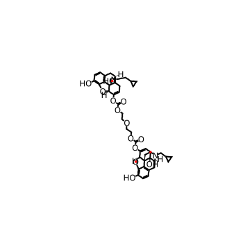 O=C(OCCOCCOC(=O)OC1=CC[C@]2(O)[C@@H]3Cc4ccc(O)c5c4[C@]2(CCN3CC2CC2)[C@@H]1O5)OC1=CC[C@]2(O)[C@@H]3Cc4ccc(O)c5c4[C@]2(CCN3CC2CC2)[C@@H]1O5